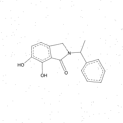 CC(c1ccccc1)N1Cc2ccc(O)c(O)c2C1=O